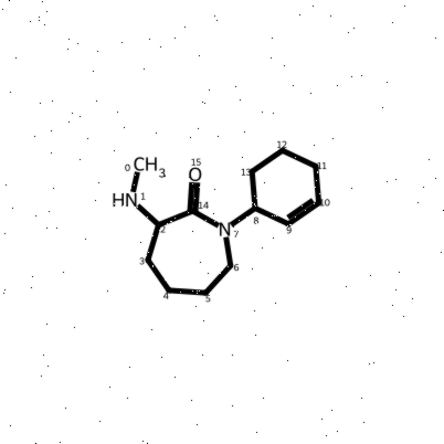 CNC1CCCCN(C2C=CCCC2)C1=O